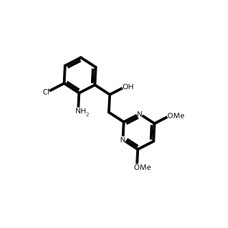 COc1cc(OC)nc(CC(O)c2cccc(Cl)c2N)n1